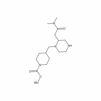 CN(C)C(=O)CC1CNCCN1CC1CCN(C(=O)OC(C)(C)C)CC1